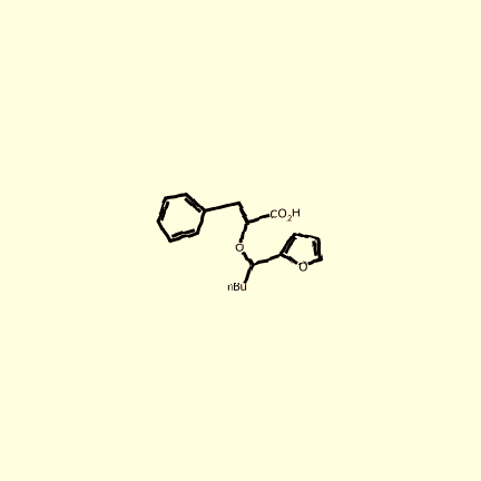 CCCCC(OC(Cc1ccccc1)C(=O)O)c1ccco1